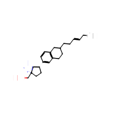 CCC=CCCC1CCc2cc([C@H]3CC[C@](N)(CO)C3)ccc2C1